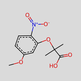 COc1ccc([N+](=O)[O-])c(OC(C)(C)C(=O)O)c1